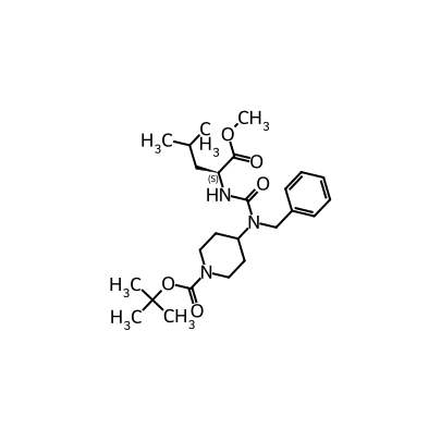 COC(=O)[C@H](CC(C)C)NC(=O)N(Cc1ccccc1)C1CCN(C(=O)OC(C)(C)C)CC1